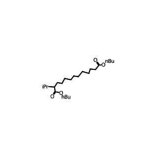 CCCCOC(=O)CCCCCCCCCCC(C(=O)OCCCC)C(C)C